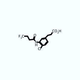 O=C(O)CCc1ccc(Cl)c(NC(=O)CCC(F)(F)F)c1